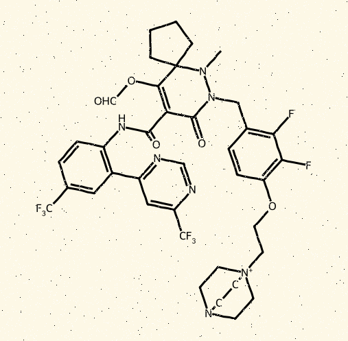 CN1N(Cc2ccc(OCC[N+]34CCN(CC3)CC4)c(F)c2F)C(=O)C(C(=O)Nc2ccc(C(F)(F)F)cc2-c2cc(C(F)(F)F)ncn2)=C(OC=O)C12CCCC2